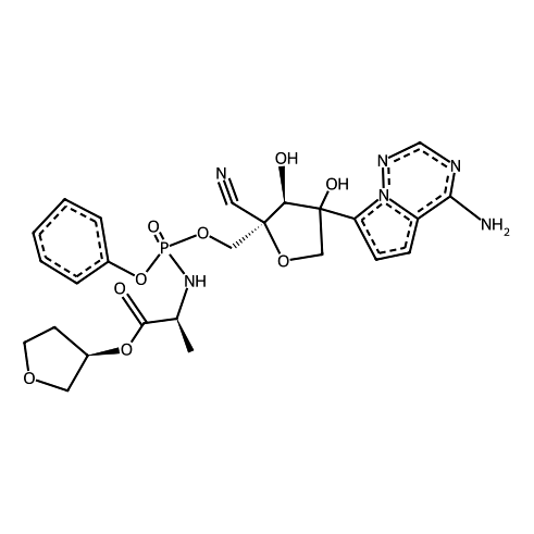 C[C@H](NP(=O)(OC[C@@]1(C#N)OCC(O)(c2ccc3c(N)ncnn23)[C@@H]1O)Oc1ccccc1)C(=O)O[C@@H]1CCOC1